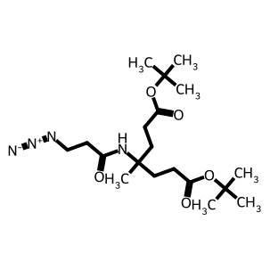 CC(CCC(=O)OC(C)(C)C)(CCC(=O)OC(C)(C)C)NC(=O)CCN=[N+]=[N-]